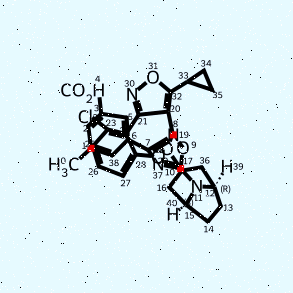 Cc1cc(C(=O)O)cc(-c2noc(N3[C@@H]4CC[C@H]3CC(OCc3c(-c5c(Cl)cccc5Cl)noc3C3CC3)C4)n2)c1